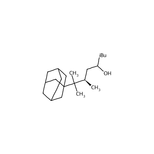 CCC(C)C(O)C[C@@H](C)C(C)(C)C12CC3CC(CC(C3)C1)C2